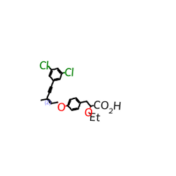 CCOC(Cc1ccc(OC/C=C(/C)C#Cc2cc(Cl)cc(Cl)c2)cc1)C(=O)O